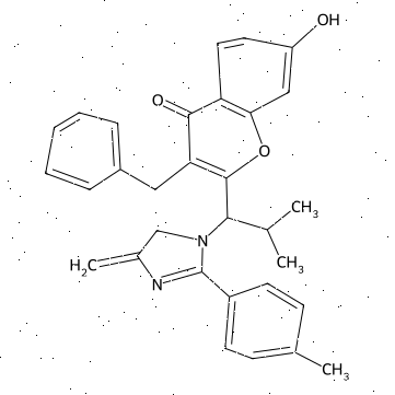 C=C1CN(C(c2oc3cc(O)ccc3c(=O)c2Cc2ccccc2)C(C)C)C(c2ccc(C)cc2)=N1